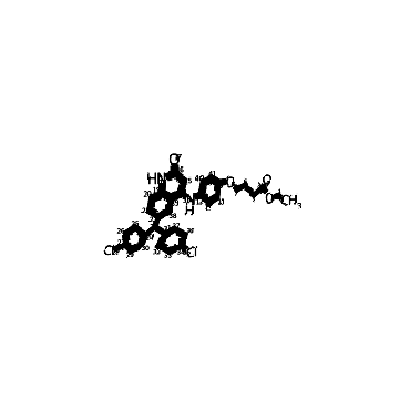 CCOC(=O)CCCOc1ccc(Nc2cc(=O)[nH]c3ccc(C(c4ccc(Cl)cc4)c4ccc(Cl)cc4)cc23)cc1